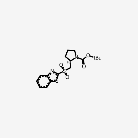 CC(C)(C)OC(=O)N1CCC[C@@H]1CS(=O)(=O)c1nc2ccccc2s1